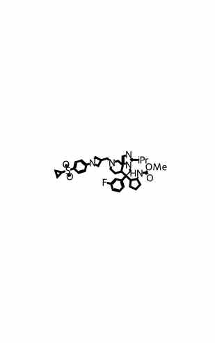 COC(=O)N[C@H]1CCCC1[C@](Cn1ccnc1C(C)C)(c1cccc(F)c1)C1CCN(CC2CN(c3ccc(S(=O)(=O)C4CC4)cc3)C2)CC1